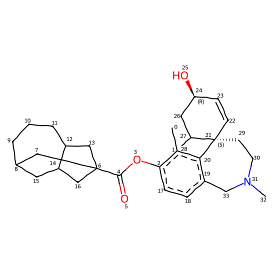 Cc1c(OC(=O)C23CC4CCCC(C2)C(C4)C3)ccc2c1[C@@]1(C=C[C@H](O)CC1C)CCN(C)C2